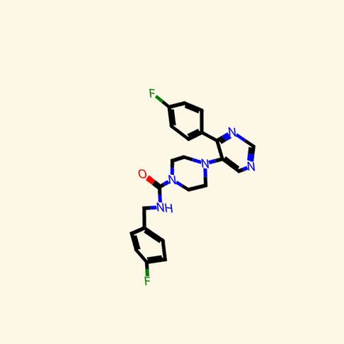 O=C(NCc1ccc(F)cc1)N1CCN(c2cncnc2-c2ccc(F)cc2)CC1